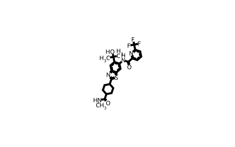 CNC(=O)C1CCC(c2nc3cc(C(C)(C)O)c(NC(=O)c4cccc(C(F)(F)F)n4)cc3s2)CC1